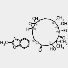 CC[C@H]1C(=O)C(C)(C)[C@@H](O)CC(=O)O[C@H](c2ccc3oc(C)nc3c2)C[C@@H]2O[C@]2(C)CCC[C@H](C)[C@@H]1O